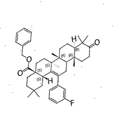 CC1(C)CC[C@]2(C(=O)OCc3ccccc3)CC[C@]3(C)C(=C(c4cccc(F)c4)CC4[C@@]5(C)CCC(=O)C(C)(C)[C@@H]5CC[C@]43C)[C@@H]2C1